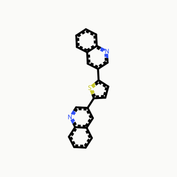 c1ccc2ncc(-c3ccc(-c4cnc5ccccc5c4)s3)cc2c1